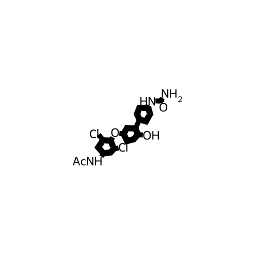 CC(=O)Nc1cc(Cl)c(Oc2ccc(O)c(-c3ccc(NC(N)=O)cc3)c2)c(Cl)c1